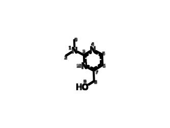 CN(C)c1nccc(CO)n1